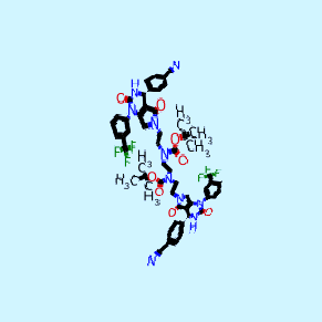 CC(C)(C)OC(=O)N(CCN(CCN1CC2=C(C1=O)[C@@H](c1ccc(C#N)cc1)NC(=O)N2c1cccc(C(F)(F)F)c1)C(=O)OC(C)(C)C)CCN1CC2=C(C1=O)[C@@H](c1ccc(C#N)cc1)NC(=O)N2c1cccc(C(F)(F)F)c1